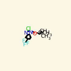 C[Si](C)(C)CCOCn1c(Cl)nc2cc(C(F)(F)F)ccc21